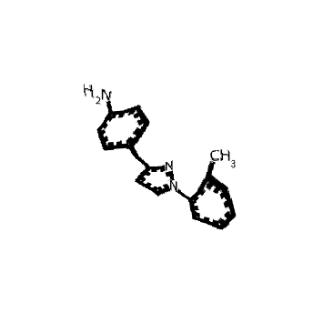 Cc1ccccc1-n1ccc(-c2ccc(N)cc2)n1